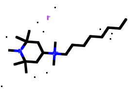 CCCCCCCC[N+](C)(C)C1CC(C)(C)N(C)C(C)(C)C1.[I-]